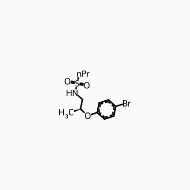 CCCS(=O)(=O)NC[C@H](C)Oc1ccc(Br)cc1